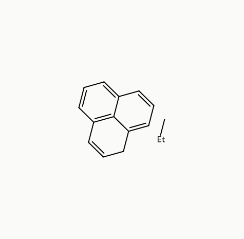 C1=Cc2cccc3cccc(c23)C1.CCC